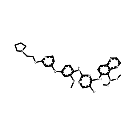 COc1cc(Oc2ccnc(OCCN3CCCC3)c2)ccc1Nc1ncc(Br)c(Nc2ccc3nccnc3c2P(OC)OC)n1